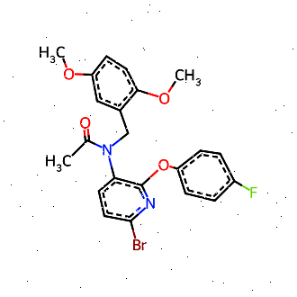 COc1ccc(OC)c(CN(C(C)=O)c2ccc(Br)nc2Oc2ccc(F)cc2)c1